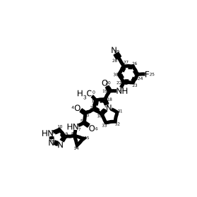 Cc1c(C(=O)C(=O)NC2(c3c[nH]nn3)CC2)c2n(c1C(=O)Nc1cc(F)cc(C#N)c1)CCC2